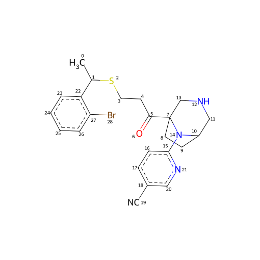 CC(SCCC(=O)C12CCC(CNC1)N2c1ccc(C#N)cn1)c1ccccc1Br